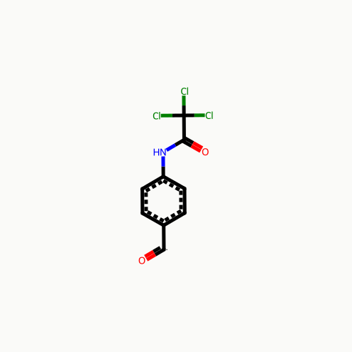 O=[C]c1ccc(NC(=O)C(Cl)(Cl)Cl)cc1